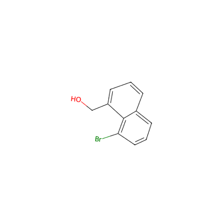 OCc1cccc2cccc(Br)c12